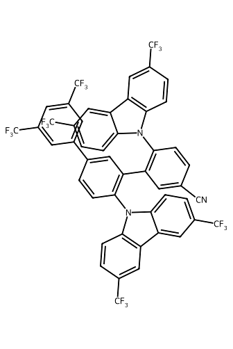 N#Cc1ccc(-n2c3ccc(C(F)(F)F)cc3c3cc(C(F)(F)F)ccc32)c(-c2cc(-c3cc(C(F)(F)F)cc(C(F)(F)F)c3)ccc2-n2c3ccc(C(F)(F)F)cc3c3cc(C(F)(F)F)ccc32)c1